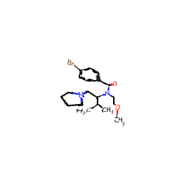 COCCN(C(=O)c1ccc(Br)cc1)C(CN1CCCC1)C(C)C